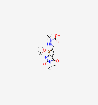 Cc1c(CNN(C(=O)O)C(C)(C)C)sc2c1c(=O)n(C1(C)CC1)c(=O)n2C[C@@H]1CCCO1